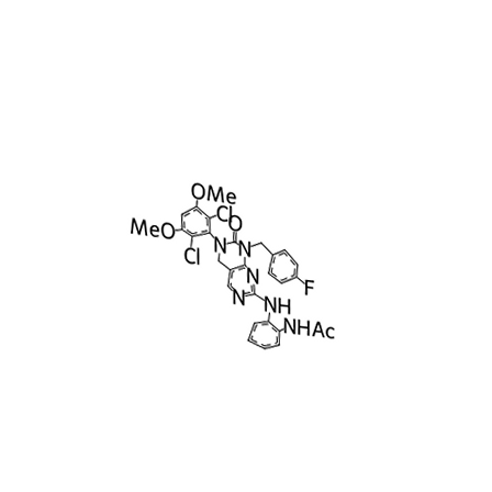 COc1cc(OC)c(Cl)c(N2Cc3cnc(Nc4ccccc4NC(C)=O)nc3N(Cc3ccc(F)cc3)C2=O)c1Cl